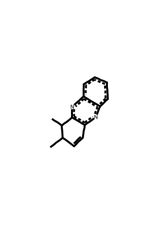 CC1C=Cc2nc3ccccc3nc2C1C